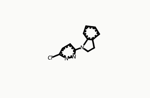 Clc1ccc(N2CCc3ccccc32)nn1